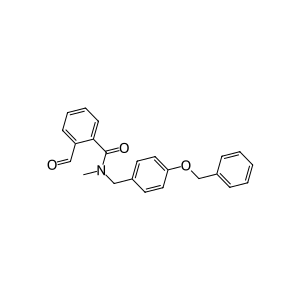 CN(Cc1ccc(OCc2ccccc2)cc1)C(=O)c1ccccc1C=O